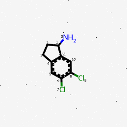 NC1CCc2cc(Cl)c(Cl)cc21